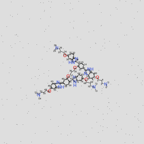 CN(C)CCCOc1ccc2nc(-c3ccc(-c4nc5ccc(OCCCN(C)C)cc5[nH]4)c(OCCCOc4cc(-c5nc6ccc(OCCCN(C)C)cc6[nH]5)ccc4-c4nc5ccc(OCCCN(C)C)cc5[nH]4)c3)[nH]c2c1